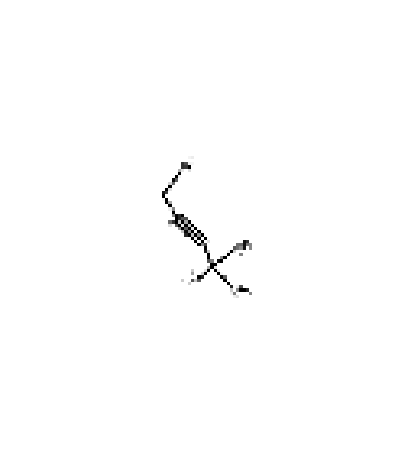 CCCC(C#CCBr)(CCC)OC(C)=O